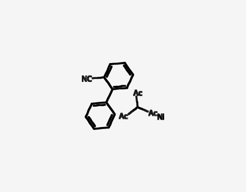 CC(=O)C(C(C)=O)C(C)=O.N#Cc1ccccc1-c1ccccc1.[Ni]